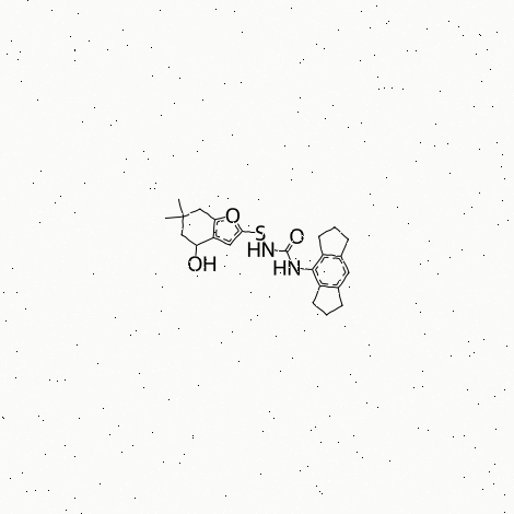 CC1(C)Cc2oc(SNC(=O)Nc3c4c(cc5c3CCC5)CCC4)cc2C(O)C1